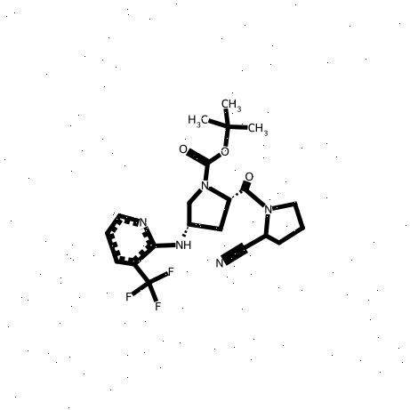 CC(C)(C)OC(=O)N1C[C@@H](Nc2ncccc2C(F)(F)F)C[C@H]1C(=O)N1CCCC1C#N